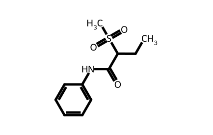 CCC(C(=O)Nc1ccccc1)S(C)(=O)=O